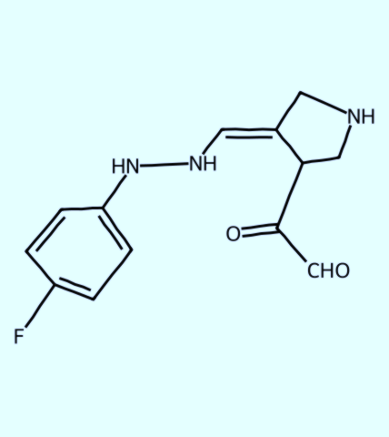 O=CC(=O)C1CNCC1=CNNc1ccc(F)cc1